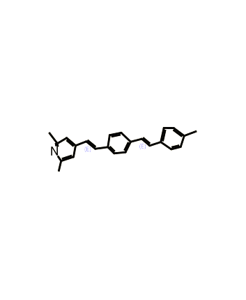 Cc1ccc(/C=C/c2ccc(/C=C/c3cc(C)nc(C)c3)cc2)cc1